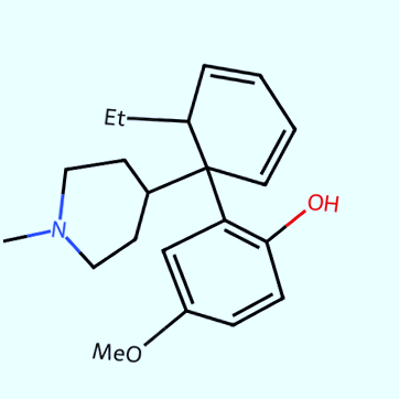 CCC1C=CC=CC1(c1cc(OC)ccc1O)C1CCN(C)CC1